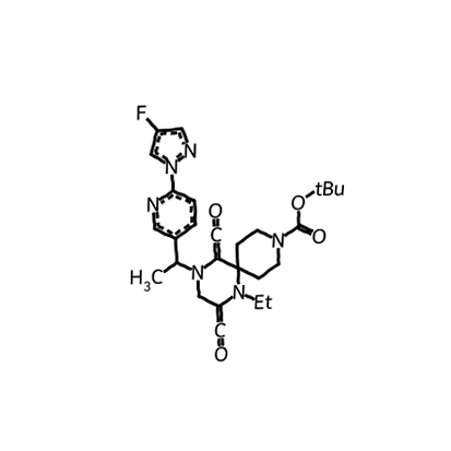 CCN1C(=C=O)CN(C(C)c2ccc(-n3cc(F)cn3)nc2)C(=C=O)C12CCN(C(=O)OC(C)(C)C)CC2